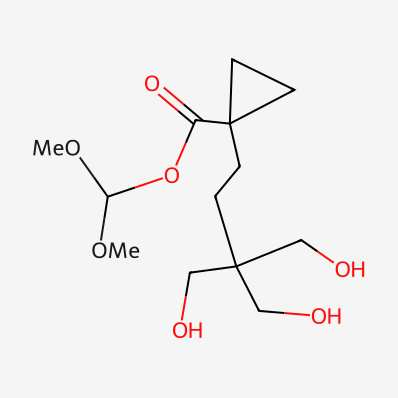 COC(OC)OC(=O)C1(CCC(CO)(CO)CO)CC1